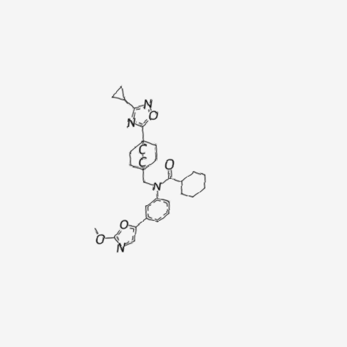 COc1ncc(-c2cccc(N(CC34CCC(c5nc(C6CC6)no5)(CC3)CC4)C(=O)C3CCCCC3)c2)o1